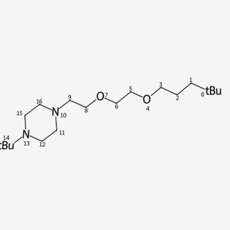 CC(C)(C)CCCOCCOCCN1CCN(C(C)(C)C)CC1